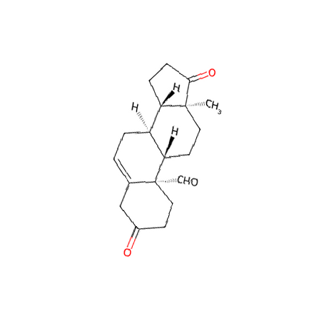 C[C@]12CC[C@H]3[C@@H](CC=C4CC(=O)CC[C@@]43C=O)[C@@H]1CCC2=O